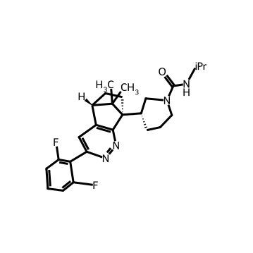 CC(C)NC(=O)N1CCC[C@H]([C@@]23CC[C@@H](c4cc(-c5c(F)cccc5F)nnc42)C3(C)C)C1